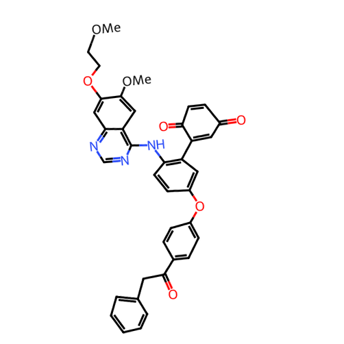 COCCOc1cc2ncnc(Nc3ccc(Oc4ccc(C(=O)Cc5ccccc5)cc4)cc3C3=CC(=O)C=CC3=O)c2cc1OC